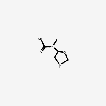 CC(=O)C(=S)N(C)C1CNCO1